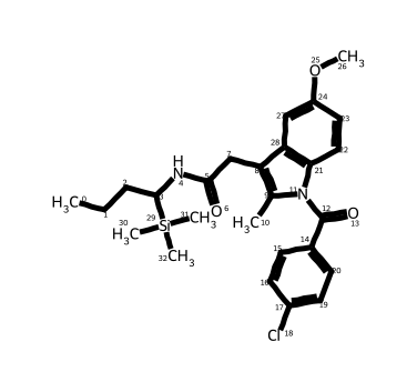 CCCC(NC(=O)Cc1c(C)n(C(=O)c2ccc(Cl)cc2)c2ccc(OC)cc12)[Si](C)(C)C